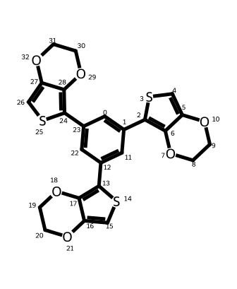 c1c(-c2scc3c2OCCO3)cc(-c2scc3c2OCCO3)cc1-c1scc2c1OCCO2